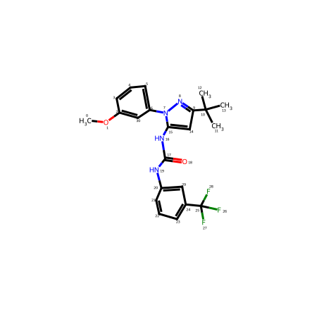 COc1cccc(-n2nc(C(C)(C)C)cc2NC(=O)Nc2cccc(C(F)(F)F)c2)c1